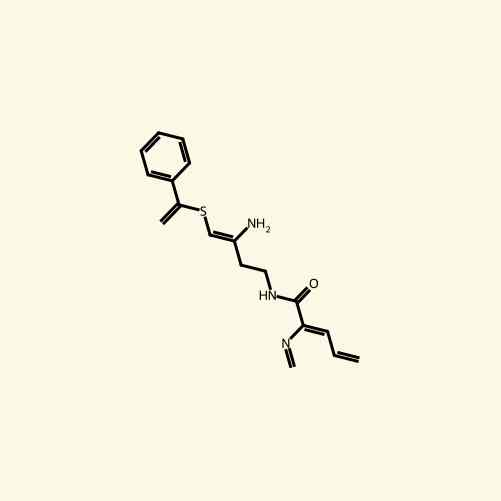 C=C/C=C(\N=C)C(=O)NCC/C(N)=C/SC(=C)c1ccccc1